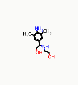 Cc1cc(C(CO)NCCO)cc(C)c1N